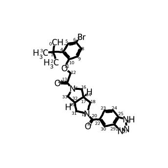 CC(C)(C)c1cc(Br)ccc1OCC(=O)N1C[C@@H]2CN(C(=O)c3ccc4[nH]nnc4c3)C[C@H]2C1